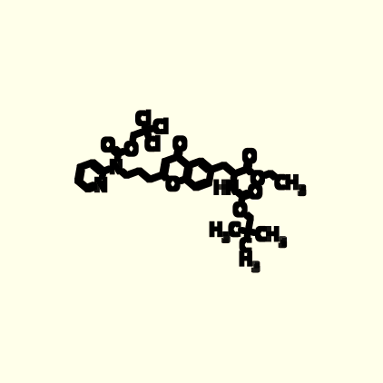 CCOC(=O)C(Cc1ccc2oc(CCCN(C(=O)OCC(Cl)(Cl)Cl)c3ccccn3)cc(=O)c2c1)NC(=O)OCC(C)(C)C